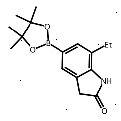 CCc1cc(B2OC(C)(C)C(C)(C)O2)cc2c1NC(=O)C2